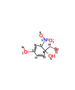 COC1=CC([N+](=O)[O-])C(O)(CBr)C=C1